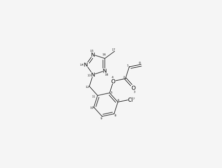 C=CC(=O)Oc1c(Cl)cccc1Cn1nnc(C)n1